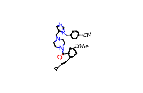 COc1ccc(C#CC2CC2)c(C(=O)N2CCN(Cc3cncn3Cc3ccc(C#N)cc3)CC2)c1